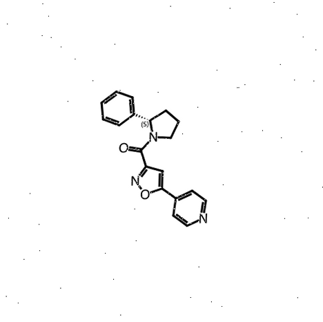 O=C(c1cc(-c2ccncc2)on1)N1CCC[C@H]1c1ccccc1